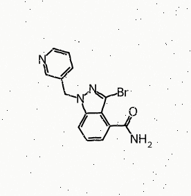 NC(=O)c1cccc2c1c(Br)nn2Cc1cccnc1